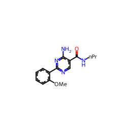 CCCNC(=O)c1cnc(-c2ccccc2OC)nc1N